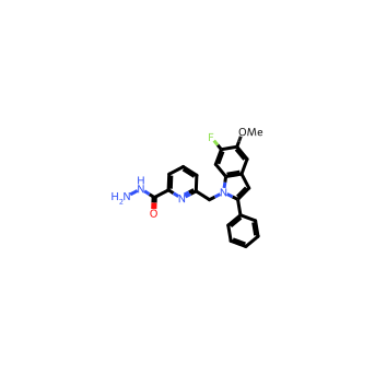 COc1cc2cc(-c3ccccc3)n(Cc3cccc(C(=O)NN)n3)c2cc1F